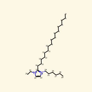 CCCCCCCCCCCCCCCCCc1n(CC)cc[n+]1CCCCCC